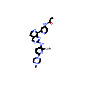 C=CC(=O)Nc1ccnc(-c2nccc3cnc(Nc4ccc(N5CCN(C)CC5)nc4OC)nc23)c1